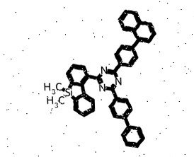 C[Si]1(C)c2ccccc2-c2c(-c3nc(-c4ccc(-c5ccccc5)cc4)nc(-c4ccc(-c5cccc6ccccc56)cc4)n3)cccc21